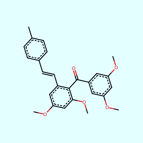 COc1cc(OC)cc(C(=O)c2c(/C=C/c3ccc(C)cc3)cc(OC)cc2OC)c1